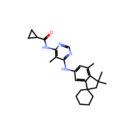 Cc1cc(Nc2ncnc(NC(=O)C3CC3)c2C)cc2c1C(C)(C)CC21CCCCC1